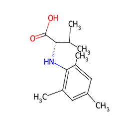 Cc1cc(C)c(N[C@H](C(=O)O)C(C)C)c(C)c1